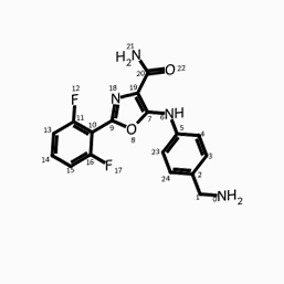 NCc1ccc(Nc2oc(-c3c(F)cccc3F)nc2C(N)=O)cc1